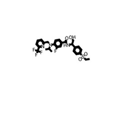 CCS(=O)(=O)c1ccc(C(CO)NC(=O)c2ccc(N(Cc3cccc(C(F)(F)F)n3)C(C)C)c(F)c2)cc1